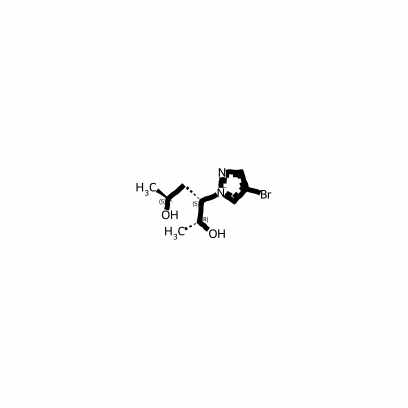 C[C@H](O)C[C@@H]([C@@H](C)O)n1cc(Br)cn1